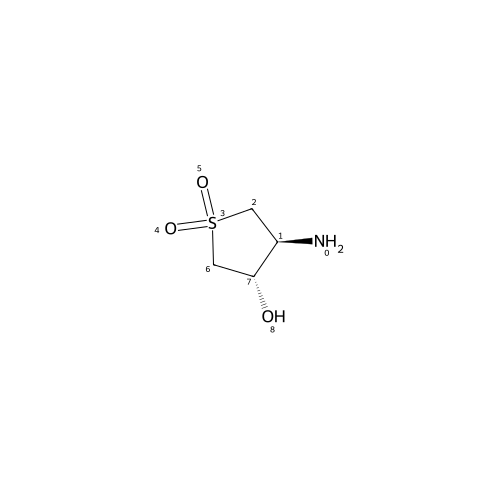 N[C@@H]1CS(=O)(=O)C[C@H]1O